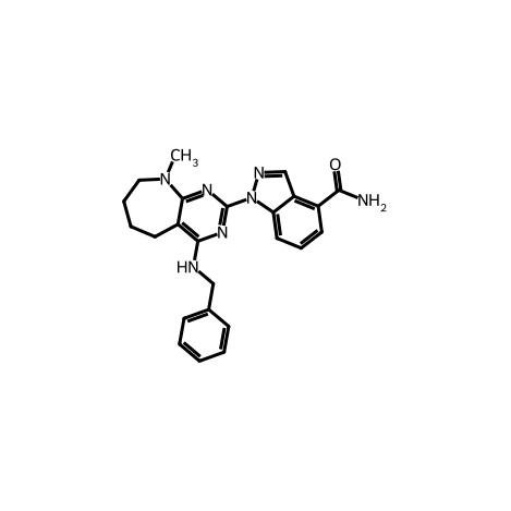 CN1CCCCc2c(NCc3ccccc3)nc(-n3ncc4c(C(N)=O)cccc43)nc21